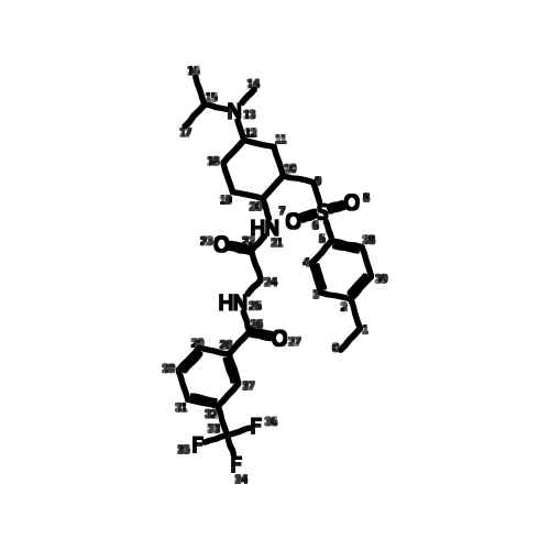 CCc1ccc(S(=O)(=O)CC2CC(N(C)C(C)C)CCC2NC(=O)CNC(=O)c2cccc(C(F)(F)F)c2)cc1